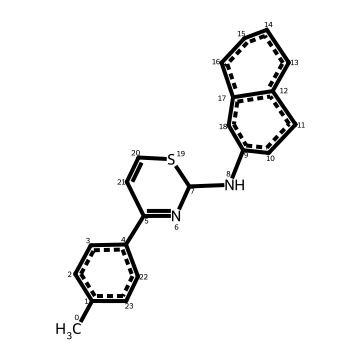 Cc1ccc(C2=NC(Nc3ccc4ccccc4c3)SC=C2)cc1